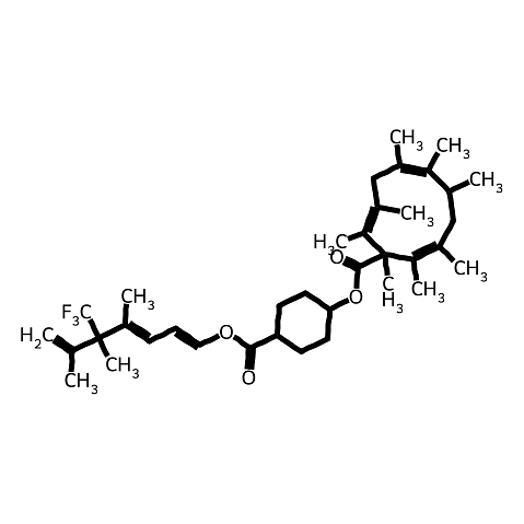 C=C(C)C(C)(/C(C)=C/C=C/OC(=O)C1CCC(OC(=O)C2(C)/C(C)=C(/C)CC(C)/C(C)=C(/C)C/C(C)=C/2C)CC1)C(F)(F)F